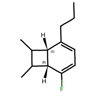 CCCC1=CC=C(F)[C@@H]2C(C)C(C)[C@H]12